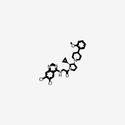 COc1ccccc1C1CCN([C@@H]2CCN(C(=O)CNc3ncnc4cc(Cl)c(Cl)cc34)[C@H]2C2CC2)CC1